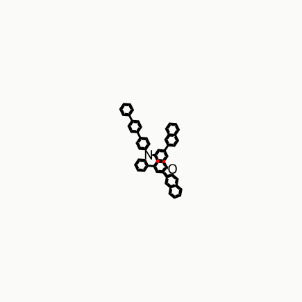 c1ccc(-c2ccc(-c3ccc(N(c4cccc(-c5ccc6ccccc6c5)c4)c4ccccc4-c4ccc5oc6cc7ccccc7cc6c5c4)cc3)cc2)cc1